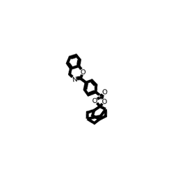 O=P1(c2ccc(C3=NCc4ccccc4O3)cc2)OC2(O1)C1CC3CC(C1)CC2C3